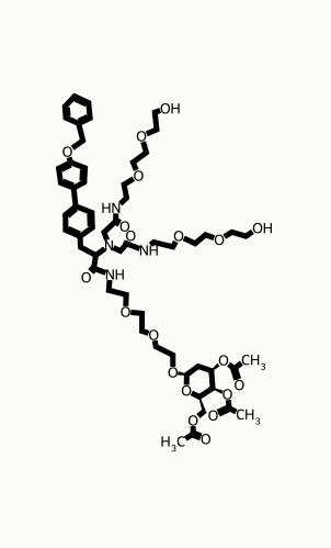 CC(=O)OC[C@H]1O[C@@H](OCCOCCOCCNC(=O)C(Cc2ccc(-c3ccc(OCc4ccccc4)cc3)cc2)N(CC(=O)NCCOCCOCCO)CC(=O)NCCOCCOCCO)C[C@@H](OC(C)=O)[C@H]1OC(C)=O